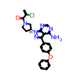 C=C(Cl)C(=O)N1CC[C@@H](n2nc(-c3ccc(Oc4ccccc4)cc3)c3c(N)ncnc32)C1